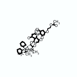 CNC(=O)[C@H](CO[Si](c1ccccc1)(c1ccccc1)C(C)(C)C)Oc1ncc(Cl)c2c1c(=O)cc(C)n2-c1c(Cl)cc(OCCOC(C)=O)cc1Cl